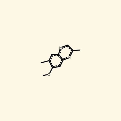 COc1cc2nc(C)cnc2cc1C